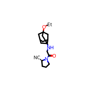 CCOC12CC3CC(C1)C(NCC(=O)N1CCC[C@H]1C#N)(C3)C2